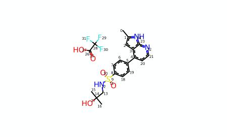 Cc1cc2c(-c3ccc(S(=O)(=O)NCC(C)(C)O)cc3)ccnc2[nH]1.O=C(O)C(F)(F)F